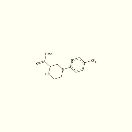 COC(=O)C1CN(c2ccc(C(F)(F)F)cn2)CCN1